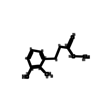 Cc1c(O)cccc1CCC(=O)OC(C)(C)C